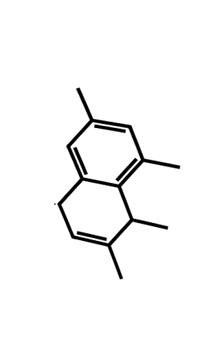 CC1=C[CH]c2cc(C)cc(C)c2C1C